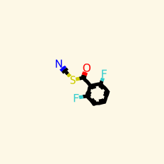 N#CSC(=O)c1c(F)cccc1F